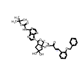 CC(C)(C)OC(=O)Nc1ncnc2c1ncn2[C@@H]1O[C@H](CNC(=O)/C=C/c2ccccc2OCc2ccccc2)[C@@H]2CC(O)(O)CC21